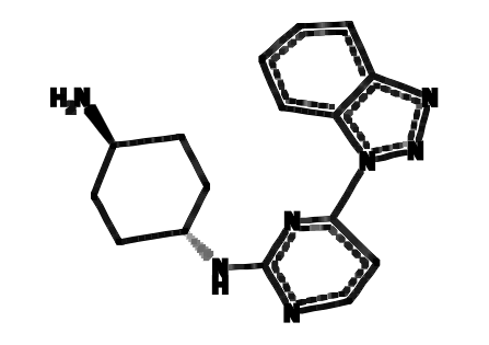 N[C@H]1CC[C@H](Nc2nccc(-n3nnc4ccccc43)n2)CC1